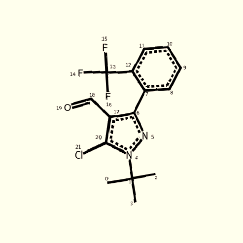 CC(C)(C)n1nc(-c2ccccc2C(F)(F)F)c(C=O)c1Cl